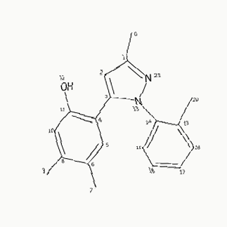 Cc1cc(-c2cc(C)c(C)cc2O)n(-c2ccccc2C)n1